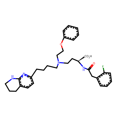 O=C(Cc1ccccc1F)N[C@@H](CCN(CCCCc1ccc2c(n1)NCCC2)CCOc1ccccc1)C(=O)O